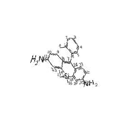 Cc1ccccc1C1=C2C=CC(N)C=C2[Si](C)(C)c2cc(N)ccc21